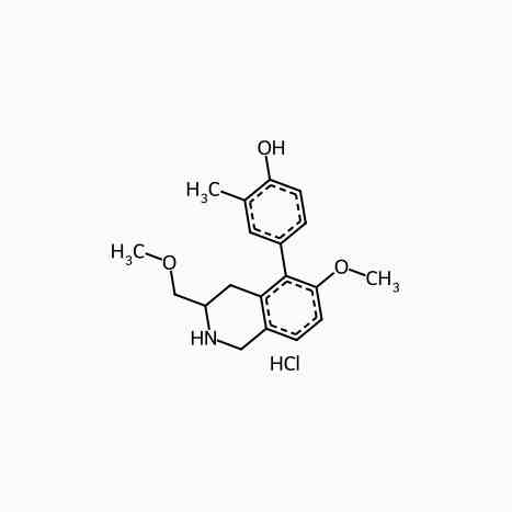 COCC1Cc2c(ccc(OC)c2-c2ccc(O)c(C)c2)CN1.Cl